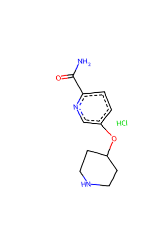 Cl.NC(=O)c1ccc(OC2CCNCC2)cn1